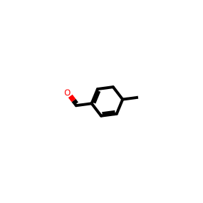 CC1C=CC(C=O)=CC1